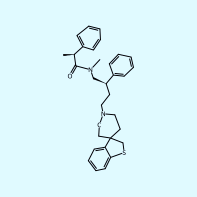 C[C@H](C(=O)N(C)C[C@H](CCN1CCC2(CC1)CSc1ccccc12)c1ccccc1)c1ccccc1